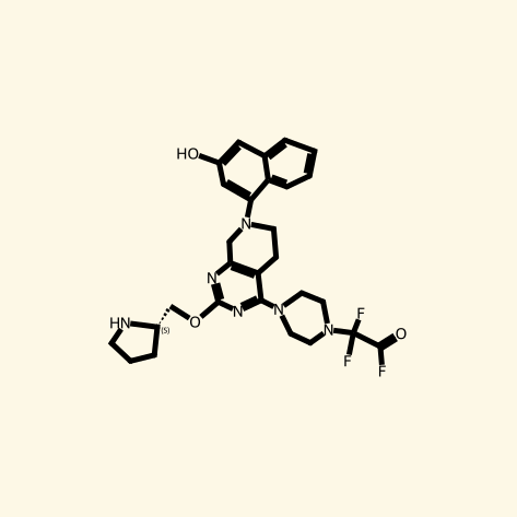 O=C(F)C(F)(F)N1CCN(c2nc(OC[C@@H]3CCCN3)nc3c2CCN(c2cc(O)cc4ccccc24)C3)CC1